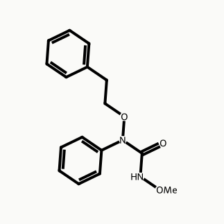 CONC(=O)N(OCCc1ccccc1)c1ccccc1